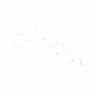 CCc1cccc(CC(NC(=O)Cc2ccc(C[n+]3ccccc3)cc2)S(=O)(=O)O)c1O.O=C[O-]